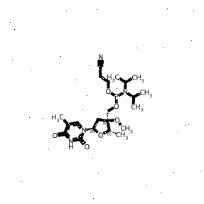 CO[C@]1(COP(OCCC#N)N(C(C)C)C(C)C)C[C@H](n2cc(C)c(=O)[nH]c2=O)O[C@H]1C